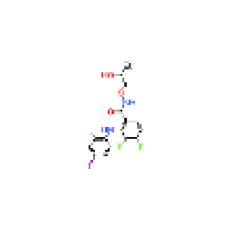 CCC(O)CONC(=O)c1ccc(F)c(F)c1Nc1ccc(I)cc1F